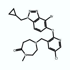 CN1CCN(Cc2cc(Cl)cnc2Oc2ccc3c(nnn3CC3CC3)c2Br)CCC1=O